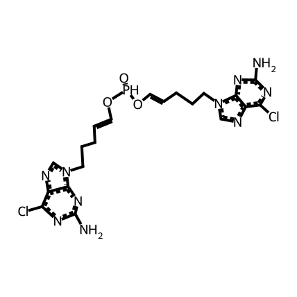 Nc1nc(Cl)c2ncn(CCCC=CO[PH](=O)OC=CCCCn3cnc4c(Cl)nc(N)nc43)c2n1